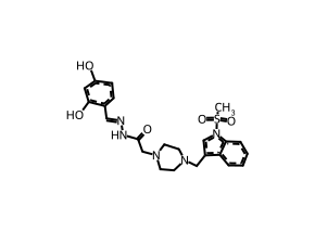 CS(=O)(=O)n1cc(CN2CCN(CC(=O)NN=Cc3ccc(O)cc3O)CC2)c2ccccc21